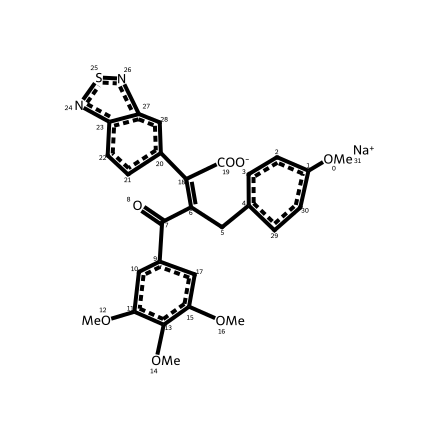 COc1ccc(C/C(C(=O)c2cc(OC)c(OC)c(OC)c2)=C(\C(=O)[O-])c2ccc3nsnc3c2)cc1.[Na+]